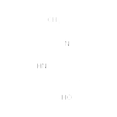 CC1CNC(CO)=N1